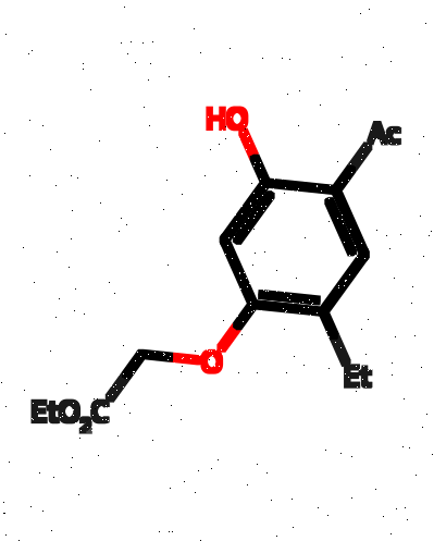 CCOC(=O)COc1cc(O)c(C(C)=O)cc1CC